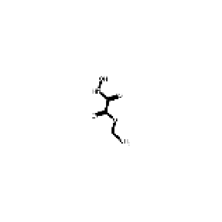 CCOC(=O)C(=O)NO